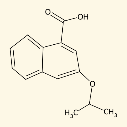 CC(C)Oc1cc(C(=O)O)c2ccccc2c1